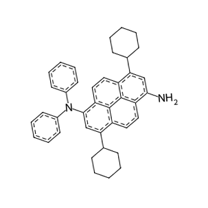 Nc1cc(C2CCCCC2)c2ccc3c(N(c4ccccc4)c4ccccc4)cc(C4CCCCC4)c4ccc1c2c43